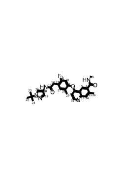 CNC(=O)c1cc2c(Oc3cc(F)c(CC(=O)Nc4cnn(C(C)(C)C)c4)cc3C)ccnc2cc1C